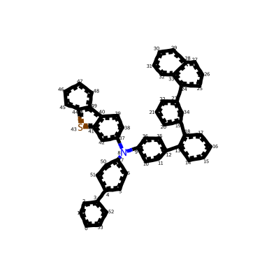 c1ccc(-c2ccc(N(c3ccc(-c4ccccc4-c4cccc(-c5cccc6ccccc56)c4)cc3)c3ccc4c(c3)sc3ccccc34)cc2)cc1